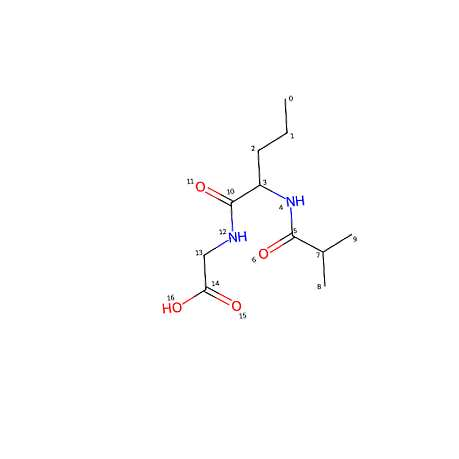 CCCC(NC(=O)C(C)C)C(=O)NCC(=O)O